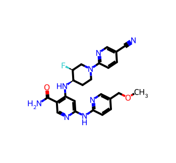 COCc1ccc(Nc2cc(N[C@@H]3CCN(c4ccc(C#N)cn4)C[C@@H]3F)c(C(N)=O)cn2)nc1